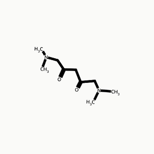 CN(C)CC(=O)CC(=O)CN(C)C